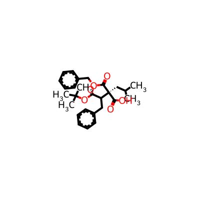 CC(C)C[C@@](C(=O)O)(C(=O)OCc1ccccc1)C(Cc1ccccc1)C(=O)OC(C)(C)C